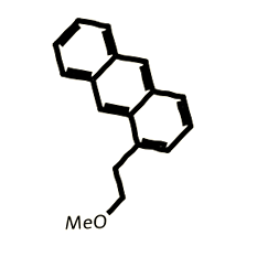 COCCc1cccc2cc3ccccc3cc12